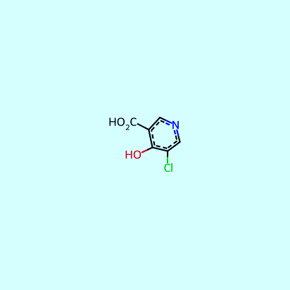 O=C(O)c1cncc(Cl)c1O